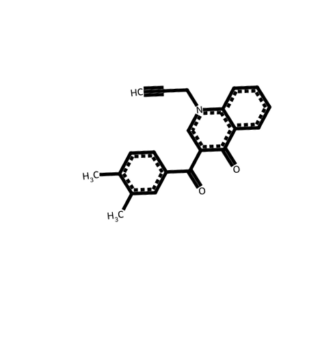 C#CCn1cc(C(=O)c2ccc(C)c(C)c2)c(=O)c2ccccc21